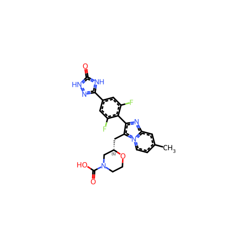 Cc1ccn2c(C[C@H]3CN(C(=O)O)CCO3)c(-c3c(F)cc(-c4n[nH]c(=O)[nH]4)cc3F)nc2c1